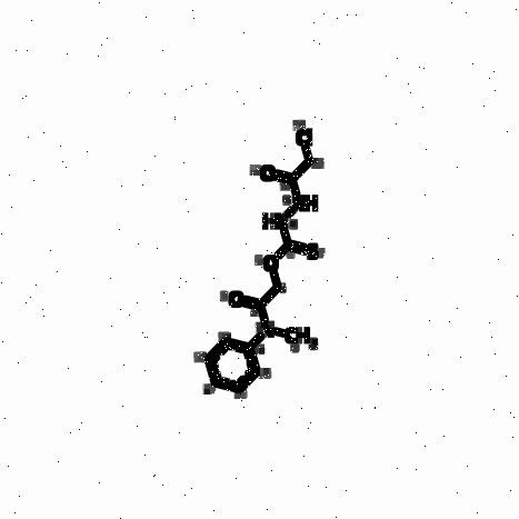 CN(C(=O)COC(=S)NNC(=O)CCl)c1ccccc1